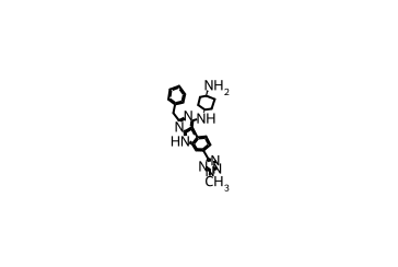 Cn1nnc(-c2ccc3c(c2)[nH]c2nc(Cc4ccccc4)nc(N[C@H]4CC[C@H](N)CC4)c23)n1